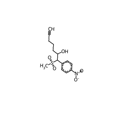 C#CCCCC(O)C(c1ccc([N+](=O)[O-])cc1)S(C)(=O)=O